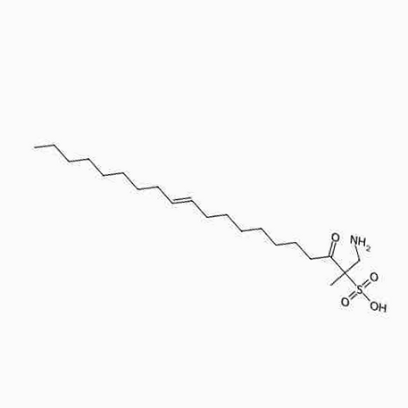 CCCCCCCCC=CCCCCCCCC(=O)C(C)(CN)S(=O)(=O)O